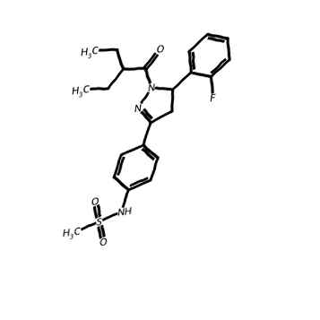 CCC(CC)C(=O)N1N=C(c2ccc(NS(C)(=O)=O)cc2)CC1c1ccccc1F